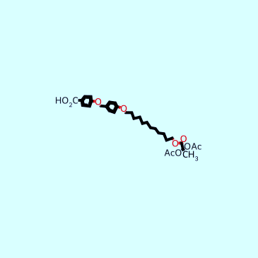 CC(=O)OC(C)(OC(C)=O)C(=O)OCCCCCCCCCCCCOc1ccc(COc2ccc(C(=O)O)cc2)cc1